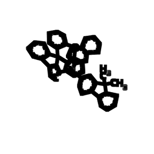 CC1(C)c2ccccc2-c2ccc(N(c3ccc4ccccc4c3)c3cccc4c3C3(c5ccccc5Oc5ccccc53)c3ccccc3-4)cc21